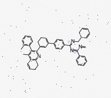 C=N/C(=N\C(=N/CC1C=CC=CC1)c1ccc(C2=CCCC(c3nc4c(c(C)c3-c3ccccc3C)C=CCC4)=C2)cc1)c1ccccc1